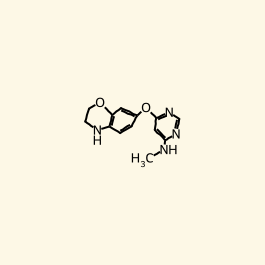 CNc1cc(Oc2ccc3c(c2)OCCN3)ncn1